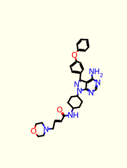 Nc1ncnc2c1c(-c1ccc(Oc3ccccc3)cc1)nn2C1CCC(NC(=O)C=CCN2CCOCC2)CC1